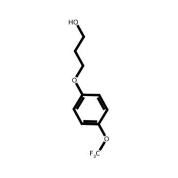 OCCCOc1ccc(OC(F)(F)F)cc1